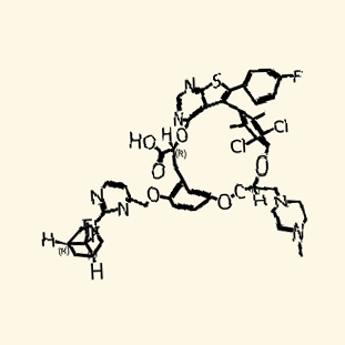 Cc1c(Cl)c2c(Cl)c(C)c1-c1c(-c3ccc(F)cc3)sc3ncnc(c13)O[C@@H](C(=O)O)Cc1cc(ccc1OCc1ccnc(N3C[C@H]4C[C@@H](C3)C4(F)F)n1)OC[C@@H](CN1CCN(C)CC1)O2